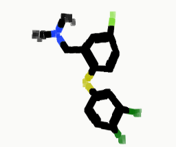 CN(C)Cc1cc(F)ccc1Sc1ccc(Cl)c(Cl)c1